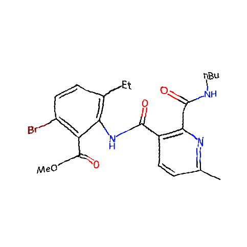 CCCCNC(=O)c1nc(C)ccc1C(=O)Nc1c(CC)ccc(Br)c1C(=O)OC